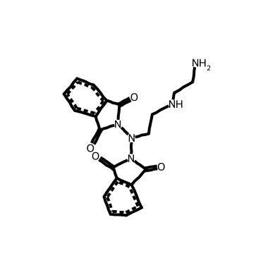 NCCNCCN(N1C(=O)c2ccccc2C1=O)N1C(=O)c2ccccc2C1=O